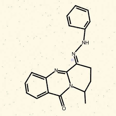 CC1CC/C(=N\Nc2ccccc2)c2nc3ccccc3c(=O)n21